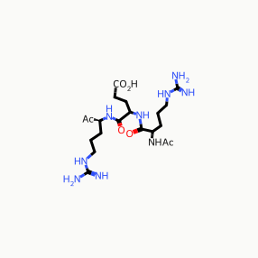 CC(=O)NC(CCCNC(=N)N)C(=O)NC(CCC(=O)O)C(=O)N[C@@H](CCCNC(=N)N)C(C)=O